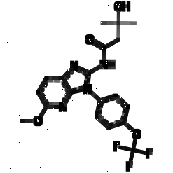 COc1ccc2nc(NC(=O)CC(C)(C)O)n(-c3ccc(OC(F)(F)F)cc3)c2n1